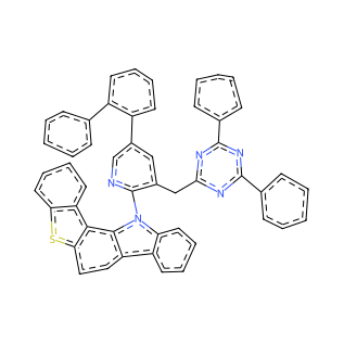 c1ccc(-c2nc(Cc3cc(-c4ccccc4-c4ccccc4)cnc3-n3c4ccccc4c4ccc5sc6ccccc6c5c43)nc(-c3ccccc3)n2)cc1